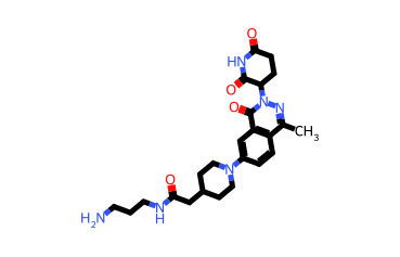 Cc1nn(C2CCC(=O)NC2=O)c(=O)c2cc(N3CCC(CC(=O)NCCCN)CC3)ccc12